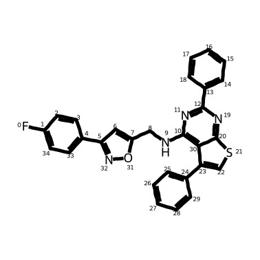 Fc1ccc(-c2cc(CNc3nc(-c4ccccc4)nc4scc(-c5ccccc5)c34)on2)cc1